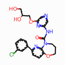 O=C(Nc1cncc(OCC(O)CO)n1)N1CCCOc2ccc(-c3cccc(Cl)c3)nc21